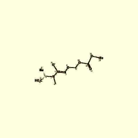 CC[C@@H](C)[C@@H](C(=O)O)N(C)[N+]([O-])=NOCOC(=O)OC(C)(C)C